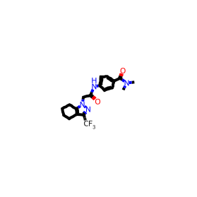 CN(C)C(=O)c1ccc(NC(=O)Cn2nc(C(F)(F)F)c3c2CCCC3)cc1